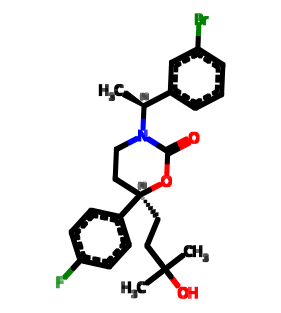 C[C@@H](c1cccc(Br)c1)N1CC[C@](CCC(C)(C)O)(c2ccc(F)cc2)OC1=O